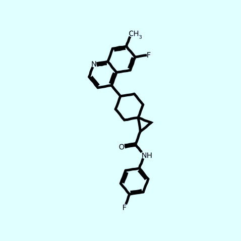 Cc1cc2nccc(C3CCC4(CC3)CC4C(=O)Nc3ccc(F)cc3)c2cc1F